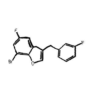 Fc1cccc(Cc2coc3c(Br)cc(F)cc23)c1